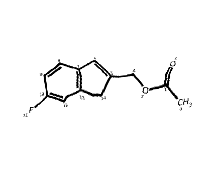 CC(=O)OCC1=Cc2ccc(F)cc2C1